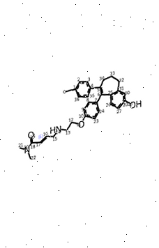 Cc1ccc(C2=C(c3ccc(OCCNC/C=C/C(=O)N(C)C)cc3)c3ccc(O)cc3CCC2)cc1